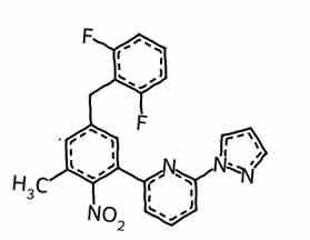 Cc1[c]c(Cc2c(F)cccc2F)cc(-c2cccc(-n3cccn3)n2)c1[N+](=O)[O-]